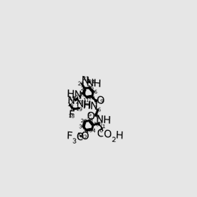 O=C(O)C[C@H](NC(=O)CNC(=O)c1cc(NC2=NCC(F)CN2)c2cn[nH]c2c1)c1cccc(OC(F)(F)F)c1